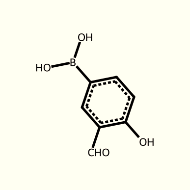 O=Cc1cc(B(O)O)ccc1O